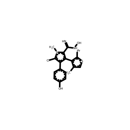 Cc1csc(C(C)C)c1-c1c(-c2ccc(O)cc2)c(Cl)n(C)c1C(=N)NO